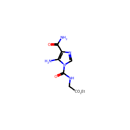 CCOC(=O)CNC(=O)n1cnc(C(N)=O)c1N